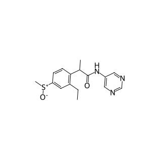 CCc1cc([S+](C)[O-])ccc1C(C)C(=O)Nc1cncnc1